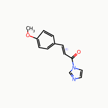 COc1ccc(/C=C/C(=O)n2ccnc2)cc1